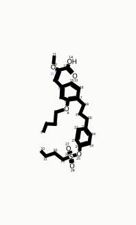 CCCCOc1cc(/C=C(/OC)C(=O)O)ccc1CCCc1ccc(OS(=O)(=O)CCCC)cc1